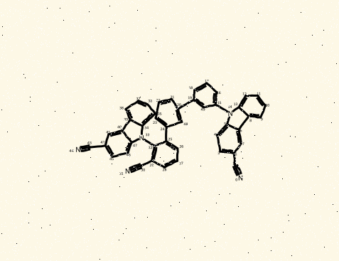 N#Cc1ccc2c(c1)c1ccccc1n2-c1cccc(-c2cccc(-c3cccc(C#N)c3-n3c4ccccc4c4cc(C#N)ccc43)c2)c1